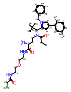 CCC(=O)N(CC[C@H](N)C(=O)NCCOCCNC(=O)CBr)[C@@H](c1cc(-c2cc(F)ccc2F)cn1Cc1ccccc1)C(C)(C)C